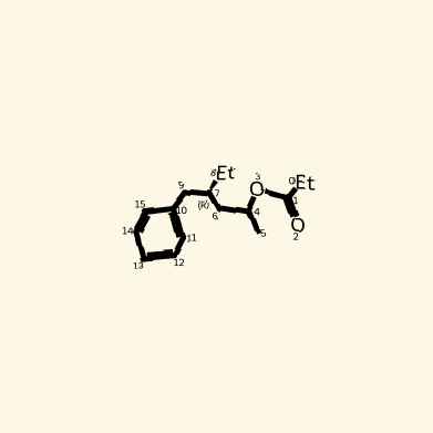 CCC(=O)OC(C)C[C@H](CC)Cc1ccccc1